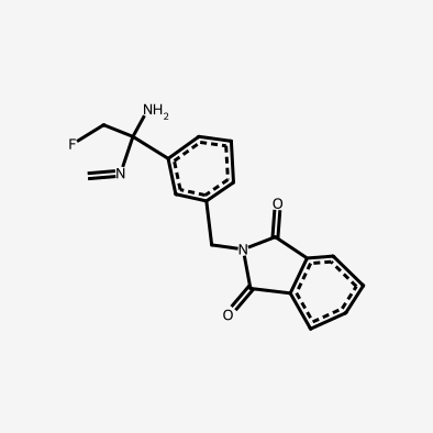 C=NC(N)(CF)c1cccc(CN2C(=O)c3ccccc3C2=O)c1